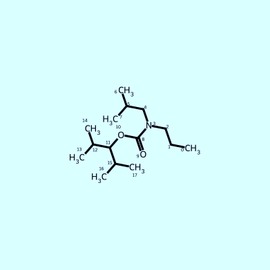 CCCN(CC(C)C)C(=O)OC(C(C)C)C(C)C